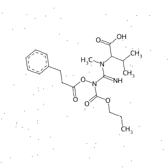 CCCOC(=O)N(OC(=O)CCc1ccccc1)C(=N)N(C)C(C(=O)O)C(C)C